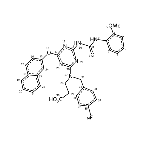 COc1ccccc1NC(=O)Nc1nc(Oc2ccc3ccccc3c2)nc(N(CCC(=O)O)Cc2ccc(F)cc2)n1